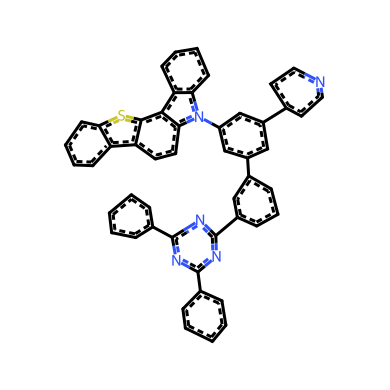 c1ccc(-c2nc(-c3ccccc3)nc(-c3cccc(-c4cc(-c5ccncc5)cc(-n5c6ccccc6c6c7sc8ccccc8c7ccc65)c4)c3)n2)cc1